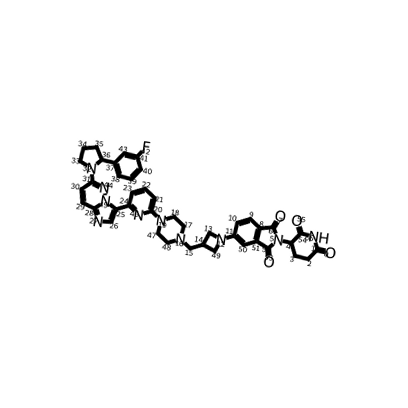 O=C1CCC(N2C(=O)c3ccc(N4CC(CN5CCN(c6cccc(-c7cnc8ccc(N9CCCC9c9cccc(F)c9)nn78)n6)CC5)C4)cc3C2=O)C(=O)N1